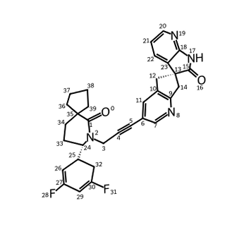 O=C1N(CC#Cc2cnc3c(c2)C[C@@]2(C3)C(=O)Nc3ncccc32)[C@H](C2C=C(F)C=C(F)C2)CCC12CCCC2